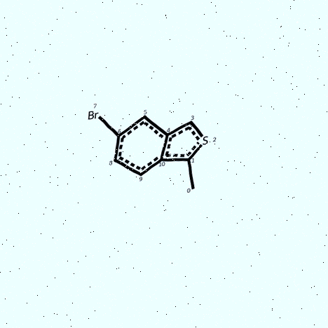 Cc1s[c]c2cc(Br)ccc12